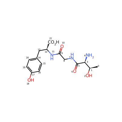 C[C@@H](O)[C@H](N)C(=O)NCC(=O)N[C@@H](Cc1ccc(O)cc1)C(=O)O